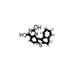 Oc1nc(O)c2ccc3sc4ccc5ccccc5c4c3c2n1